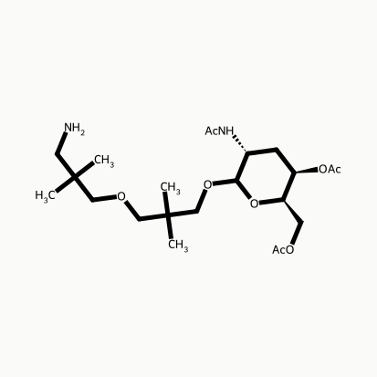 CC(=O)N[C@@H]1C[C@@H](OC(C)=O)[C@@H](COC(C)=O)OC1OCC(C)(C)COCC(C)(C)CN